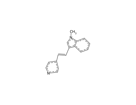 Cn1cc(/C=C/c2ccncc2)c2ccccc21